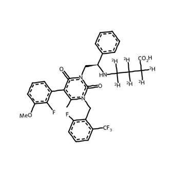 [2H]C([2H])(N[C@@H](Cn1c(=O)c(-c2cccc(OC)c2F)c(C)n(Cc2c(F)cccc2C(F)(F)F)c1=O)c1ccccc1)C([2H])([2H])C([2H])([2H])C(=O)O